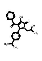 CC(O)CN1C(=O)C(O)=C(C(=O)c2ccccc2)C1c1ccc(C(C)C)cc1